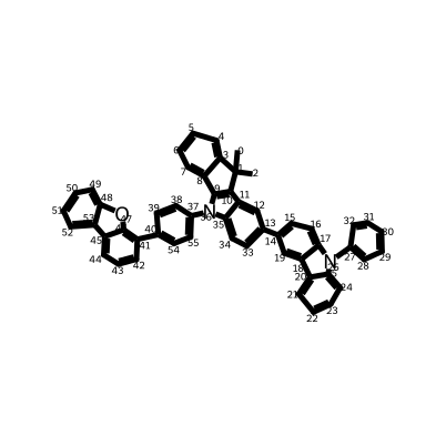 CC1(C)c2ccccc2-c2c1c1cc(-c3ccc4c(c3)c3ccccc3n4-c3ccccc3)ccc1n2-c1ccc(-c2cccc3c2oc2ccccc23)cc1